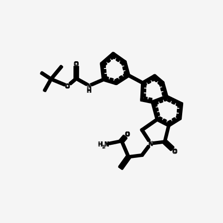 C=C(CN1Cc2c(ccc3ccc(-c4cccc(NC(=O)OC(C)(C)C)c4)cc23)C1=O)C(N)=O